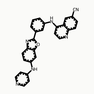 N#Cc1ccc2nccc(Nc3cccc(-c4nc5ccc(Nc6ccncc6)cc5o4)c3)c2c1